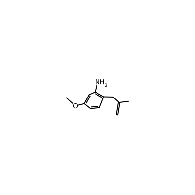 C=C(C)Cc1ccc(OC)cc1N